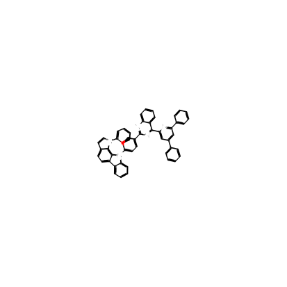 c1ccc(-c2cc(-c3ccccc3)nc(-c3nc(-c4ccc(-n5c6ccccc6c6ccc7ccn(-c8ccccc8)c7c65)cc4)nc4ccccc34)c2)cc1